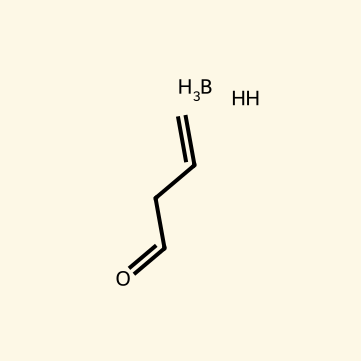 B.C=CCC=O.[HH]